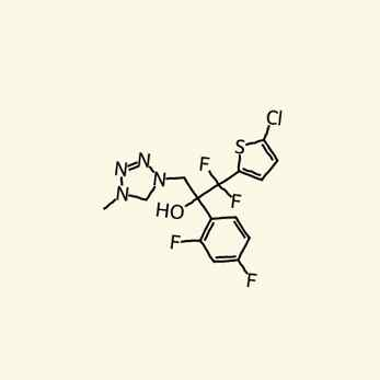 CN1CN(CC(O)(c2ccc(F)cc2F)C(F)(F)c2ccc(Cl)s2)N=N1